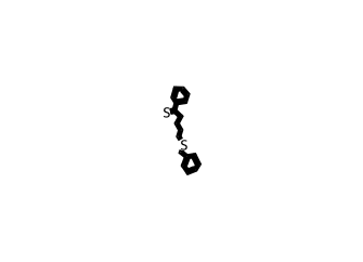 S=C(CCCCSCc1ccccc1)c1ccccc1